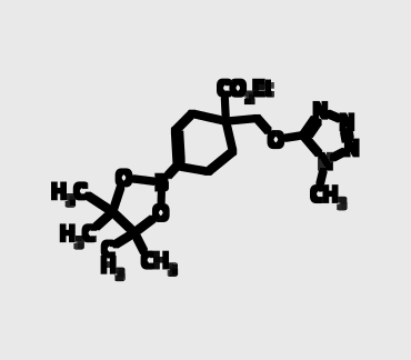 CCOC(=O)C1(COc2nnnn2C)CC=C(B2OC(C)(C)C(C)(C)O2)CC1